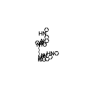 Oc1ccc2ccc(Nc3ccccc3)cc2c1N=Nc1cccc[n+]1CCCCCC[n+]1ccccc1/N=N\c1c(O)ccc2ccc(Nc3ccccc3)cc12